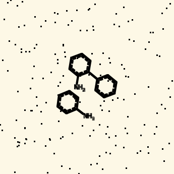 Nc1ccccc1.Nc1ccccc1-c1ccccc1